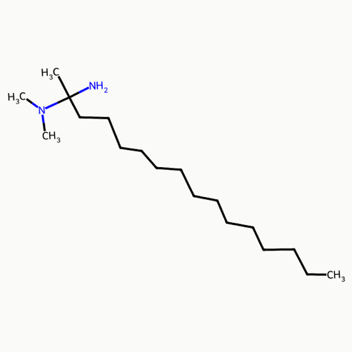 CCCCCCCCCCCCCCC(C)(N)N(C)C